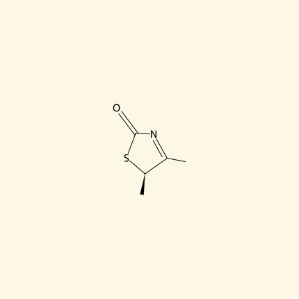 CC1=NC(=O)S[C@@H]1C